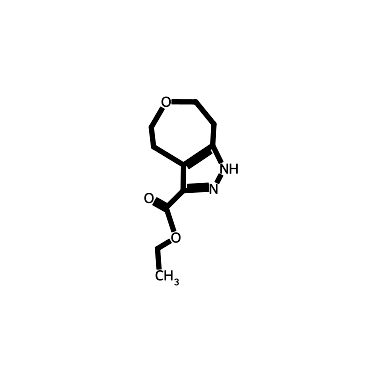 CCOC(=O)c1n[nH]c2c1CCOCC2